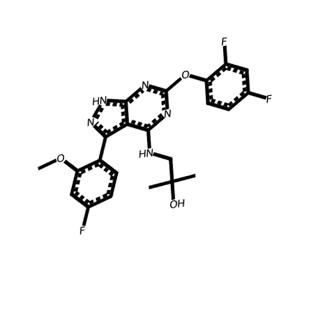 COc1cc(F)ccc1-c1n[nH]c2nc(Oc3ccc(F)cc3F)nc(NCC(C)(C)O)c12